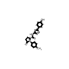 Cc1ccc(N2C(=O)CC[C@H]2C(=O)Nc2nc(-c3ccc(O)cc3)ns2)cc1